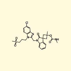 CNC(=O)OC1(C)CC2(C1)C(=O)N(Cc1nc3cc(Cl)ccc3n1CCCS(C)(=O)=O)c1ccccc12